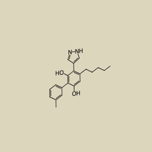 CCCCCc1cc(O)c(-c2cccc(C)c2)c(O)c1-c1cn[nH]c1